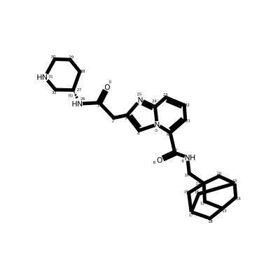 O=C(Cc1cn2c(C(=O)NCC34CC5CC(CC(C5)C3)C4)cccc2n1)N[C@H]1CCCNC1